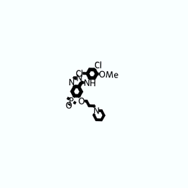 COc1cc(Nc2ncnc3cc(P(C)(C)=O)c(OCCCN4CCCCC4)cc23)c(Cl)cc1Cl